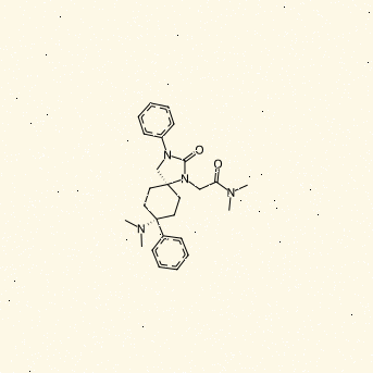 CN(C)C(=O)CN1C(=O)N(c2ccccc2)C[C@]12CC[C@@](c1ccccc1)(N(C)C)CC2